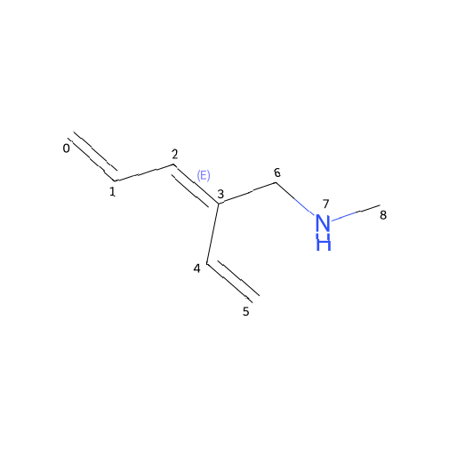 C=C/C=C(\C=C)CNC